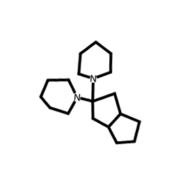 C1CCN(C2(N3CCCCC3)CC3CCCC3C2)CC1